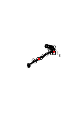 CCC1(OC(=O)NCCOCCOCCOCCOCCOC(=O)CCCCC2CCSS2)C(=O)OCc2c1cc1n(c2=O)Cc2cc3ccccc3nc2-1